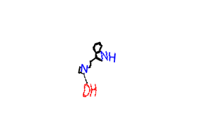 OC[C@H]1CCN1CCc1c[nH]c2ccccc12